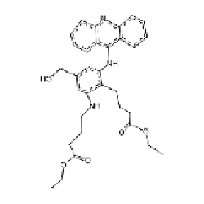 CCOC(=O)CCCNc1cc(CO)cc(Nc2c3ccccc3nc3ccccc23)c1CCCC(=O)OCC